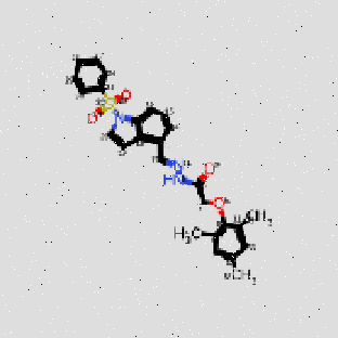 Cc1cc(C)c(OCC(=O)NN=Cc2cccc3c2ccn3S(=O)(=O)c2ccccc2)c(C)c1